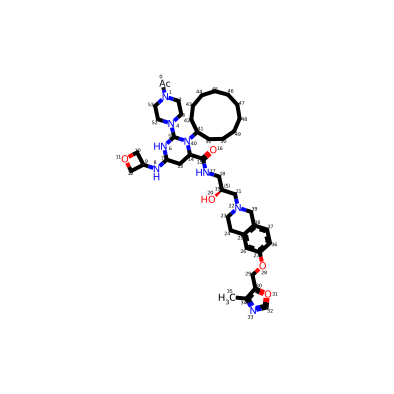 CC(=O)N1CCN(C2NC(NC3COC3)CC(C(=O)NC[C@H](O)CN3CCc4cc(OCc5ocnc5C)ccc4C3)N2C2CCCCCCCCCC2)CC1